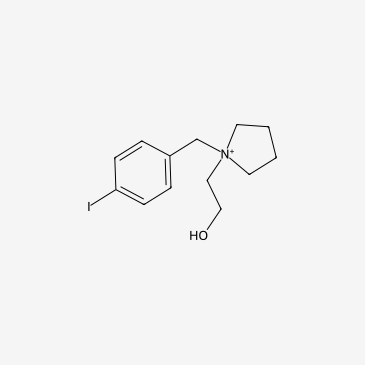 OCC[N+]1(Cc2ccc(I)cc2)CCCC1